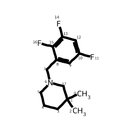 CC1(C)CCCN(Cc2cc(F)cc(F)c2F)C1